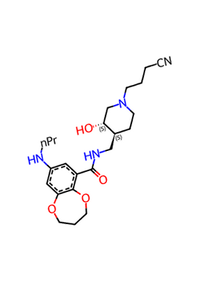 CCCNc1cc2c(c(C(=O)NC[C@@H]3CCN(CCCC#N)C[C@H]3O)c1)OCCCO2